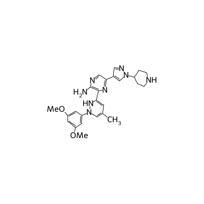 COc1cc(OC)cc(N2C=C(C)C=C(c3nc(-c4cnn(C5CCNCC5)c4)cnc3N)N2)c1